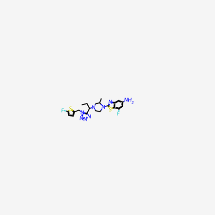 CCC(c1nnnn1Cc1ccc(F)s1)N1CCN(c2nc3cc(N)cc(F)c3s2)C(C)C1